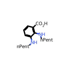 CCCCCNc1cccc(C(=O)O)c1NCCCCC